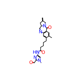 C=C1CC2C=Nc3cc(CCCCC(=O)Nc4cn(C)c(C=O)n4)c(C)cc3C(=O)N2C1